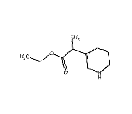 CCOC(=O)C(C)C1CCCNC1